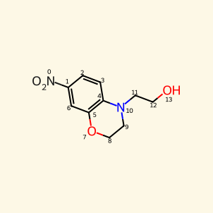 O=[N+]([O-])c1ccc2c(c1)OCCN2CCO